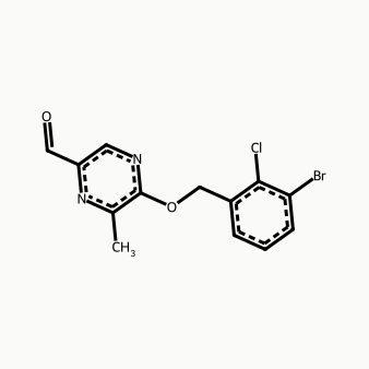 Cc1nc(C=O)cnc1OCc1cccc(Br)c1Cl